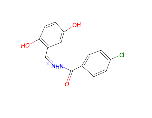 O=C(N/N=C\c1cc(O)ccc1O)c1ccc(Cl)cc1